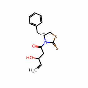 C=CC(O)CC(=O)N1C(=S)SC[C@H]1Cc1ccccc1